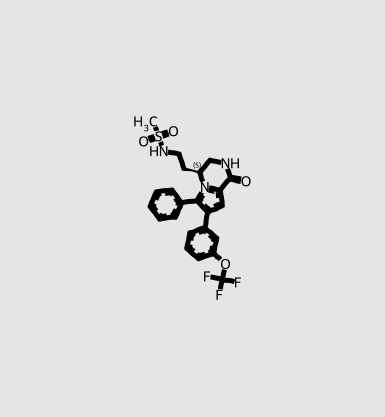 CS(=O)(=O)NCC[C@H]1CNC(=O)c2cc(-c3cccc(OC(F)(F)F)c3)c(-c3ccccc3)n21